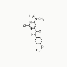 COC1CCC(NC(=O)c2cc(N(C)C)nc(Cl)n2)CC1